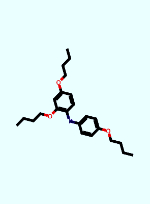 CCCCOc1ccc([I+]c2ccc(OCCCC)cc2OCCCC)cc1